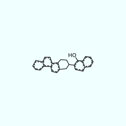 Oc1c(C2CCc3c(ccc4c3ccc3ccccc34)C2)ccc2ccccc12